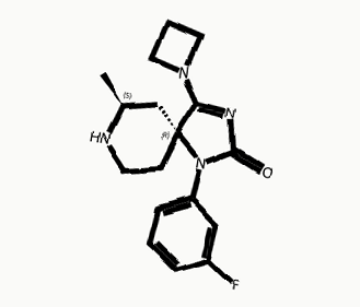 C[C@H]1C[C@]2(CCN1)C(N1CCC1)=NC(=O)N2c1cccc(F)c1